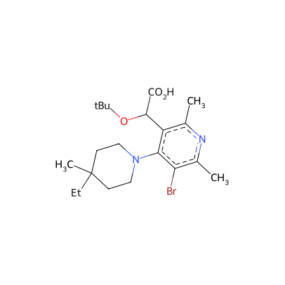 CCC1(C)CCN(c2c(Br)c(C)nc(C)c2C(OC(C)(C)C)C(=O)O)CC1